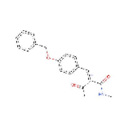 CNC(=O)/C(=C/c1ccc(OCc2ccccc2)cc1)C(C)=O